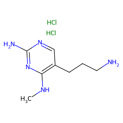 CNc1nc(N)ncc1CCCN.Cl.Cl